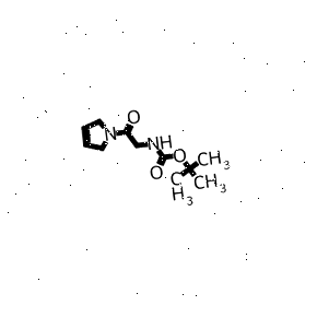 CC(C)(C)OC(=O)NCC(=O)N1CC=CC1